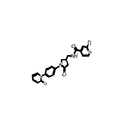 O=C(NCC1CC(=O)N(c2ccc(-n3ccccc3=O)cc2)C1)c1ccnc(Cl)c1